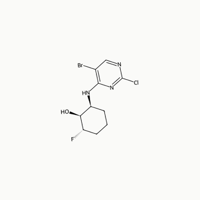 O[C@H]1[C@@H](Nc2nc(Cl)ncc2Br)CCC[C@@H]1F